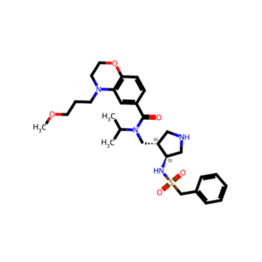 COCCCN1CCOc2ccc(C(=O)N(C[C@@H]3CNC[C@H]3NS(=O)(=O)Cc3ccccc3)C(C)C)cc21